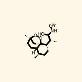 CCCNC(O)[C@H](C)[C@@H]1CC[C@@H](C)[C@@H]2CC[C@]3(C)CC[C@@]21OO3